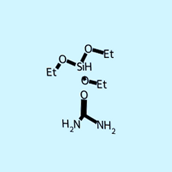 CCO[SiH](OCC)OCC.NC(N)=O